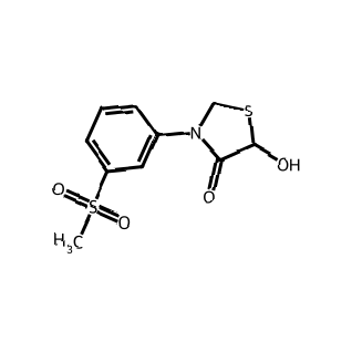 CS(=O)(=O)c1cccc(N2CSC(O)C2=O)c1